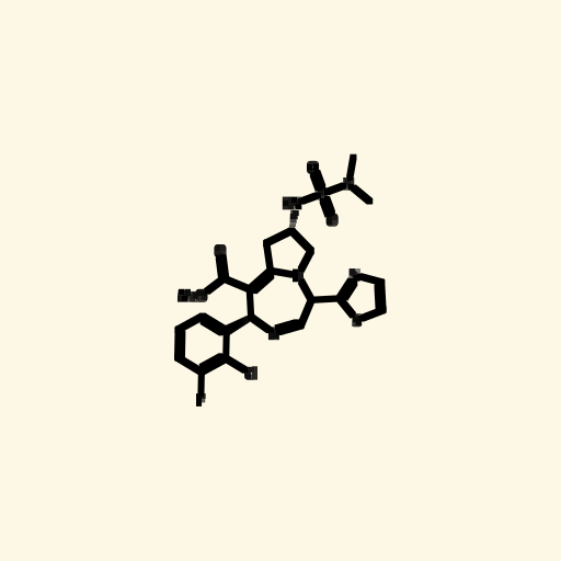 COC(=O)C1=C2C[C@H](NS(=O)(=O)N(C)C)CN2C(c2nccs2)C=N[C@H]1c1cccc(F)c1Cl